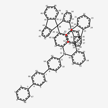 c1ccc(-c2ccc(-c3ccc(N(c4ccc5c(c4)C4(c6ccccc6-c6ccccc64)c4ccccc4C54c5ccccc5-c5ccccc54)c4ccccc4-c4ccccc4)cc3)cc2)cc1